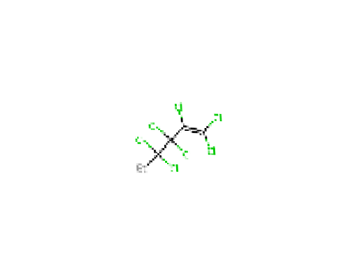 CCC(Cl)(Cl)C(Cl)(Cl)C(Cl)=C(Cl)Cl